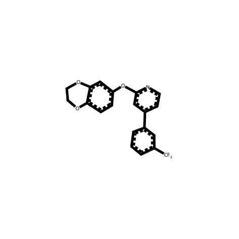 FC(F)(F)c1cccc(-c2ccnc(Oc3ccc4c(c3)OCCO4)c2)c1